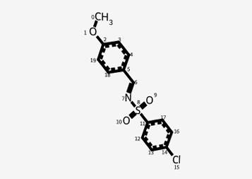 COc1ccc(C=NS(=O)(=O)c2ccc(Cl)cc2)cc1